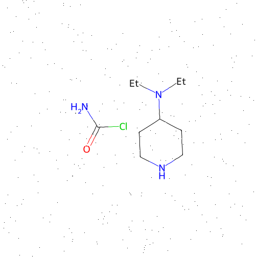 CCN(CC)C1CCNCC1.NC(=O)Cl